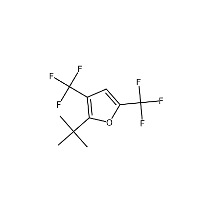 CC(C)(C)c1oc(C(F)(F)F)cc1C(F)(F)F